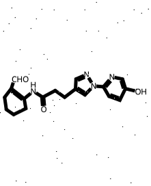 O=CC1=C(NC(=O)CCc2cnn(-c3ccc(O)cn3)c2)CCCC1